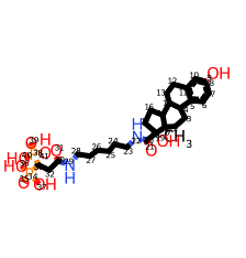 C[C@]12CCC3c4ccc(O)cc4CCC3C1CC[C@]2(O)C(=O)NCCCCCCNC(=O)CC(P(=O)(O)O)P(=O)(O)O